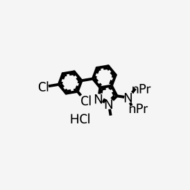 CCCN(CCC)c1c2cccc(-c3ccc(Cl)cc3Cl)c2nn1C.Cl